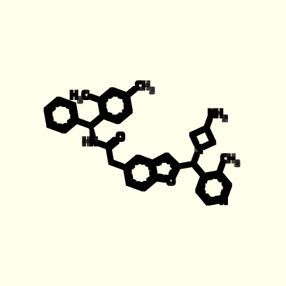 Cc1ccc([C@@H](NC(=O)Cc2ccc3oc(C(c4ccncc4C)N4CC(N)C4)cc3c2)c2ccccc2)c(C)c1